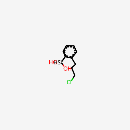 O[SiH](O)c1ccccc1CCCCl